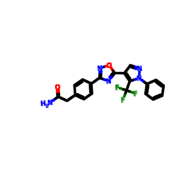 NC(=O)Cc1ccc(-c2noc(-c3cnn(-c4ccccc4)c3C(F)(F)F)n2)cc1